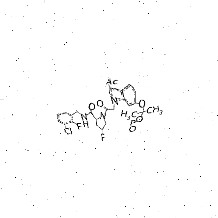 CC(=O)c1cn(CC(=O)N2C[C@H](F)C[C@H]2C(=O)NCc2cccc(Cl)c2F)c2cc(OC(C)(C)OP=O)ccc12